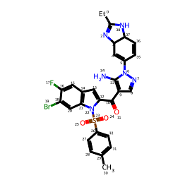 CCC1=NC2C=C(n3ncc(C(=O)c4cc5cc(F)c(Br)cc5n4S(=O)(=O)c4ccc(C)cc4)c3N)C=CC2N1